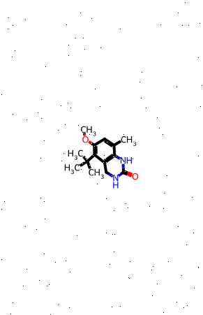 COc1cc(C)c2c(c1C(C)(C)C)CNC(=O)N2